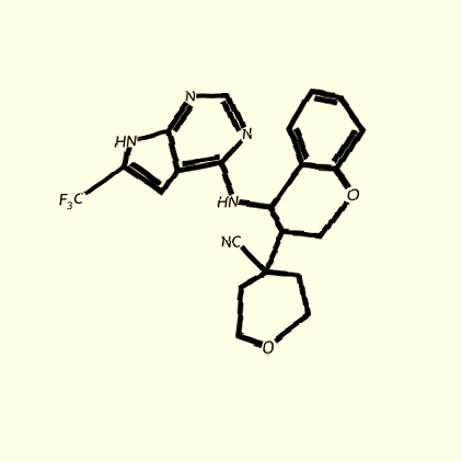 N#CC1(C2COc3ccccc3C2Nc2ncnc3[nH]c(C(F)(F)F)cc23)CCOCC1